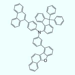 c1ccc(C2(c3ccccc3)c3ccccc3-c3c(N(c4ccc(-c5cc6ccccc6c6ccccc56)cc4)c4cccc(-c5cccc6oc7c8ccccc8ccc7c56)c4)cccc32)cc1